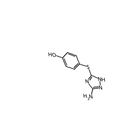 Nc1n[nH]c(Sc2ccc(O)cc2)n1